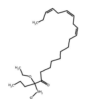 CC/C=C\C/C=C\C/C=C\CCCCCCCC(=O)C(CCC)(OCC)[SiH2][O]